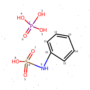 O=P(O)(O)O.O=S(=O)(O)Nc1ccccc1